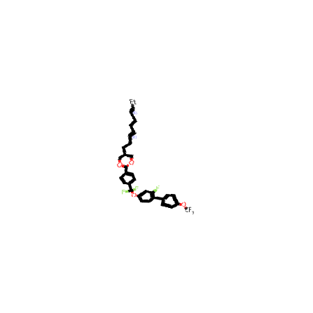 CC/C=C/CC/C=C/CCC1COC(c2ccc(C(F)(F)Oc3ccc(-c4ccc(OC(F)(F)F)cc4)c(F)c3)cc2)OC1